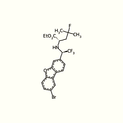 CCOC(=O)[C@H](CC(C)(C)F)N[C@H](c1ccc2c(c1)oc1ccc(Br)cc12)C(F)(F)F